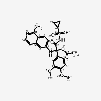 CCOc1cc(C(Nc2ccc3c(N)nccc3c2)(OC(=O)C(F)(F)F)C(=O)NS(=O)(=O)C2CC2)ccc1OC(C)C